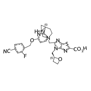 N#Cc1ccc(COc2cccc([C@@]34CCN(Cc5nc6sc(C(=O)O)nc6n5C[C@@H]5CCO5)C[C@@H]3C4)n2)c(F)c1